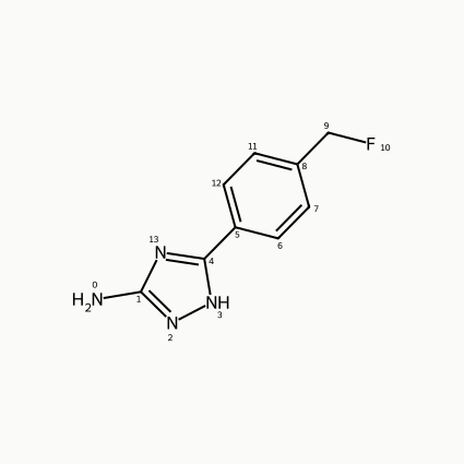 Nc1n[nH]c(-c2ccc(CF)cc2)n1